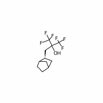 OC(C[C@H]1CC2CCC1C2)(C(F)(F)F)C(F)(F)F